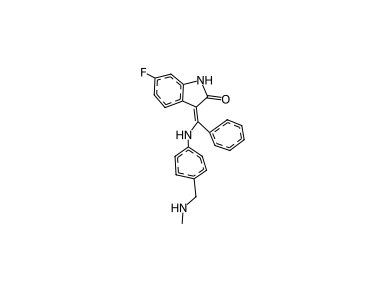 CNCc1ccc(NC(=C2C(=O)Nc3cc(F)ccc32)c2ccccc2)cc1